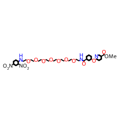 COC(=O)c1ccc(Oc2cccc(C(=O)NCCOCCOCCOCCOCCOCCOCCOCCNc3ccc([N+](=O)[O-])cc3[N+](=O)[O-])c2)nc1